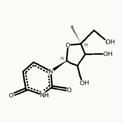 C[C@@]1(CO)O[C@H](n2ccc(=O)[nH]c2=O)C(O)C1O